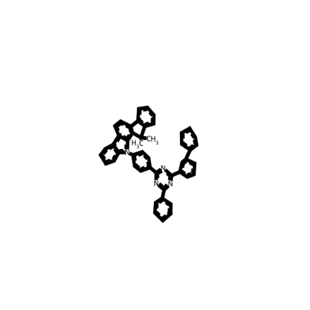 CC1(C)c2ccccc2-c2ccc3c4ccccc4n(-c4ccc(-c5nc(-c6ccccc6)nc(-c6cccc(-c7ccccc7)c6)n5)cc4)c3c21